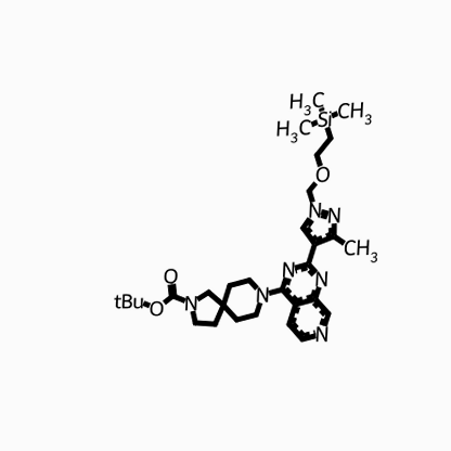 Cc1nn(COCC[Si](C)(C)C)cc1-c1nc(N2CCC3(CCN(C(=O)OC(C)(C)C)C3)CC2)c2ccncc2n1